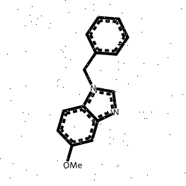 COc1ccc2c(c1)n[c]n2Cc1ccccc1